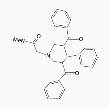 CNC(=O)CN1CC(C(=O)c2ccccc2)C(c2ccccc2)C(C(=O)c2ccccc2)C1